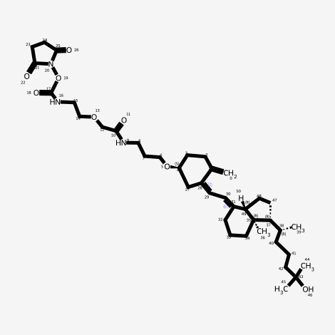 C=C1CC[C@H](OCCCNC(=O)COCCNC(=O)ON2C(=O)CCC2=O)C/C1=C/C=C1\CCC[C@]2(C)[C@@H]([C@H](C)CCCC(C)(C)O)CC[C@@H]12